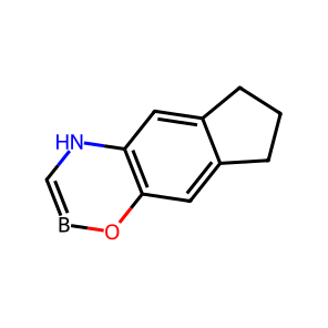 B1=CNc2cc3c(cc2O1)CCC3